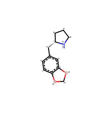 c1cc2c(cc1C[C@@H]1CCCN1)OCO2